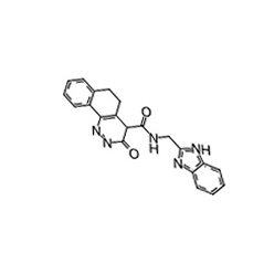 O=C1N=NC2=C(CCc3ccccc32)C1C(=O)NCc1nc2ccccc2[nH]1